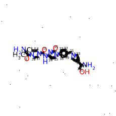 CC(C)(N)C(=O)N1CCN(C(=O)Nc2ccn(-c3ccc(CN4CC5C(C4)C5C(N)CO)cc3)c(=O)n2)CC1